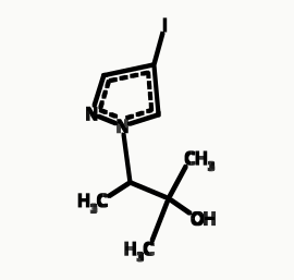 CC(n1cc(I)cn1)C(C)(C)O